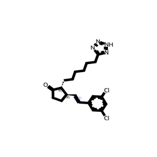 O=C1CC[C@H](/C=C/c2cc(Cl)cc(Cl)c2)[C@H]1CCCCCCc1nn[nH]n1